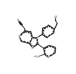 N#Cc1cc2c(cn1)nc(-c1cccnc1N)n2-c1ccc(CCl)cc1